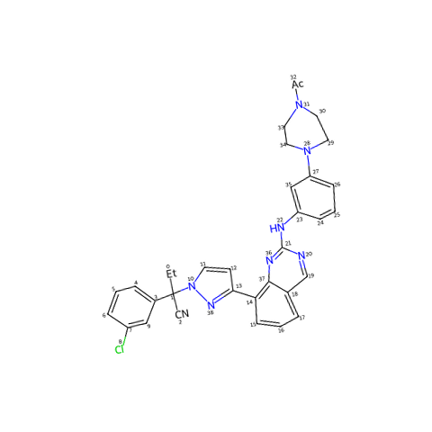 CCC(C#N)(c1cccc(Cl)c1)n1ccc(-c2cccc3cnc(Nc4cccc(N5CCN(C(C)=O)CC5)c4)nc23)n1